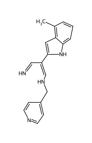 Cc1cccc2[nH]c(/C(C=N)=C/NCc3ccncc3)cc12